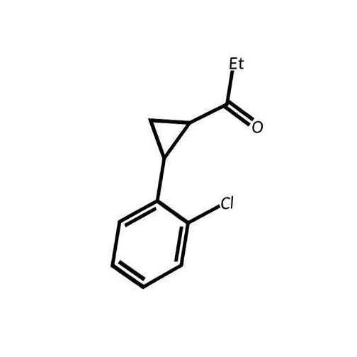 CCC(=O)C1CC1c1ccccc1Cl